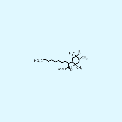 COC(=O)C(CCCCCCCC(=O)O)C1CC(C)(C)N(C)CC1(C)C